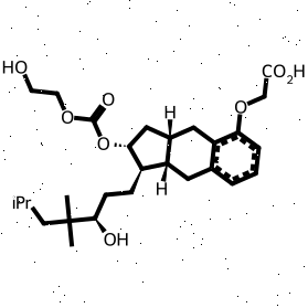 CC(C)CC(C)(C)[C@H](O)CC[C@@H]1[C@H]2Cc3cccc(OCC(=O)O)c3C[C@H]2C[C@H]1OC(=O)OCCO